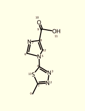 Cc1nnc(-n2cnc(C(=O)O)c2)s1